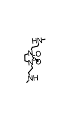 CNCCN1CCN(CCNC)S1(=O)=O